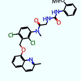 COc1ccccc1NC(=O)NCC(=O)N(C)c1ccc(Cl)c(COc2cccc3ccc(C)nc23)c1Cl